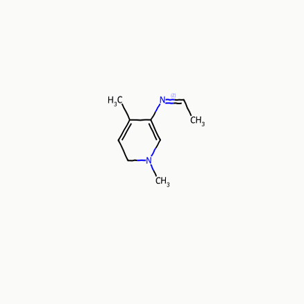 C/C=N\C1=CN(C)CC=C1C